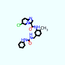 Cc1ccc(CNC(=O)Nc2ccccc2)cc1NC(=O)c1cnc2ccc(Cl)cn12